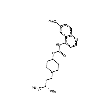 CCCC[C@@H](CCN1CCC(OC(=O)Nc2ccnc3ccc(OC)cc23)CC1)C(=O)O